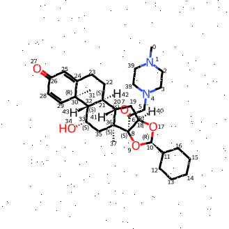 CN1CCN(CC(=O)[C@@]23O[C@H](C4CCCCC4)O[C@@H]2C[C@H]2[C@@H]4CCC5=CC(=O)C=C[C@]5(C)[C@H]4[C@@H](O)C[C@@]23C)CC1